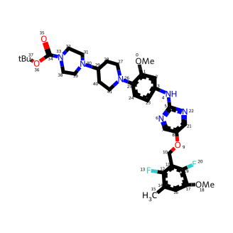 COc1cc(Nc2ncc(OCc3c(F)c(C)cc(OC)c3F)cn2)ccc1N1CCC(N2CCN(C(=O)OC(C)(C)C)CC2)CC1